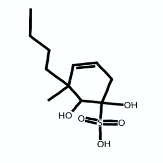 CCCCC1(C)C=CCC(O)(S(=O)(=O)O)C1O